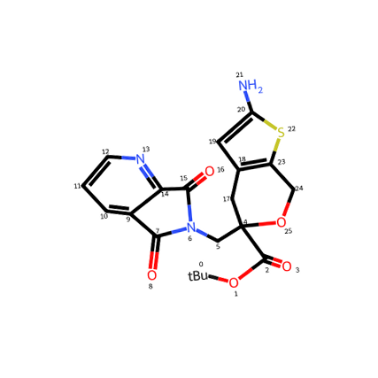 CC(C)(C)OC(=O)C1(CN2C(=O)c3cccnc3C2=O)Cc2cc(N)sc2CO1